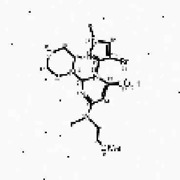 COCCN(C)C1=NC(N2CCOCC2)N(c2nn(C)cc2Br)C(C(=O)O)=C1